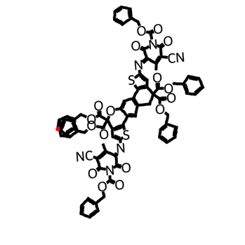 CC1=C(C#N)C(=O)N(C(=O)OCc2ccccc2)C(=O)/C1=N/c1cc2c(s1)-c1cc3c(cc1CC2(C(=O)OCc1ccccc1)C(=O)OCc1ccccc1)-c1sc(/N=C2/C(=O)N(C(=O)OCc4ccccc4)C(=O)C(C#N)=C2C)cc1C(C(=O)OCc1ccccc1)(C(=O)OCc1ccccc1)O3